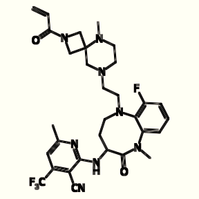 C=CC(=O)N1CC2(CN(CCN3CCC(Nc4nc(C)cc(C(F)(F)F)c4C#N)C(=O)N(C)c4cccc(F)c43)CCN2C)C1